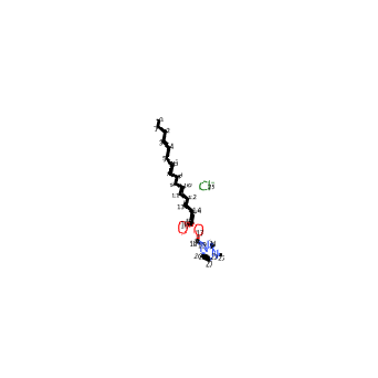 CCCCCCCCCCCCCCCC(=O)OC[n+]1ccn(C)c1.[Cl-]